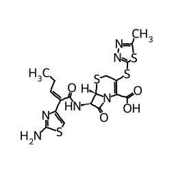 CC/C=C(\C(=O)N[C@@H]1C(=O)N2C(C(=O)O)=C(Sc3nnc(C)s3)CS[C@@H]12)c1csc(N)n1